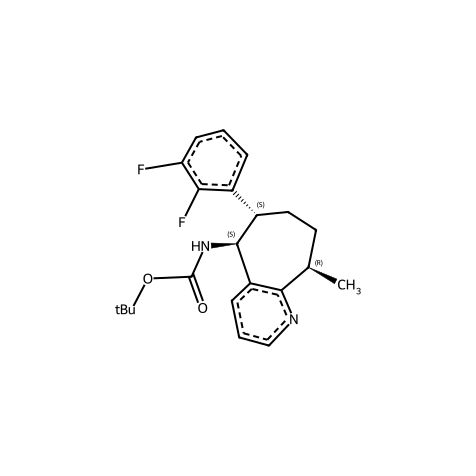 C[C@@H]1CC[C@@H](c2cccc(F)c2F)[C@H](NC(=O)OC(C)(C)C)c2cccnc21